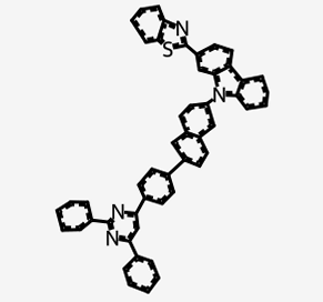 c1ccc(-c2cc(-c3ccc(-c4ccc5cc(-n6c7ccccc7c7ccc(-c8nc9ccccc9s8)cc76)ccc5c4)cc3)nc(-c3ccccc3)n2)cc1